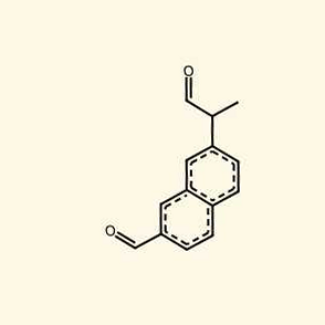 CC(C=O)c1ccc2ccc(C=O)cc2c1